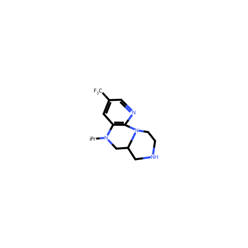 CC(C)N1CC2CNCCN2c2ncc(C(F)(F)F)cc21